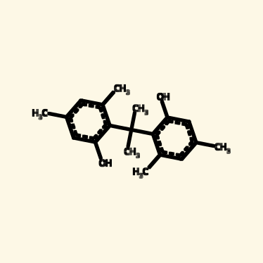 Cc1cc(C)c(C(C)(C)c2c(C)cc(C)cc2O)c(O)c1